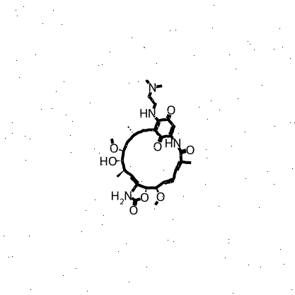 CO[C@@H]1/C=C/C=C(\C)C(=O)NC2=CC(=O)C(NCCN(C)C)=C(C[C@@H](C)C[C@@H](OC)[C@@H](O)[C@H](C)/C=C(\C)[C@H]1OC(N)=O)C2=O